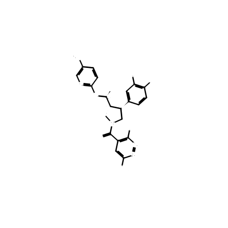 Cc1cc(C(=O)N2C[C@H]([C@H](C)Oc3ccc(C#N)cn3)[C@@H](c3ccc(Cl)c(Cl)c3)C2)c(Cl)nn1